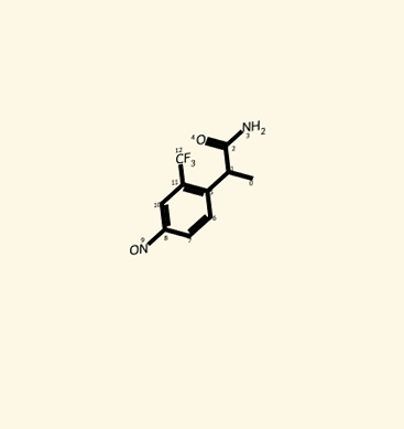 CC(C(N)=O)c1ccc(N=O)cc1C(F)(F)F